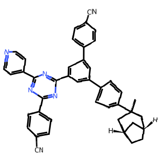 CC1(c2ccc(-c3cc(-c4ccc(C#N)cc4)cc(-c4nc(-c5ccncc5)nc(-c5ccc(C#N)cc5)n4)c3)cc2)C[C@@H]2CC[C@@H](C2)C1